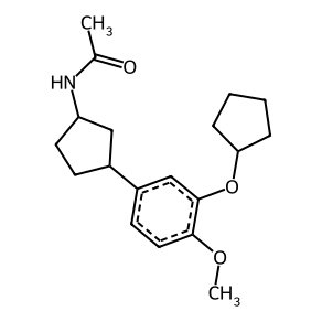 COc1ccc(C2CCC(NC(C)=O)C2)cc1OC1CCCC1